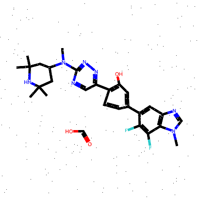 CN(c1ncc(-c2ccc(-c3cc4ncn(C)c4c(F)c3F)cc2O)nn1)C1CC(C)(C)NC(C)(C)C1.O=CO